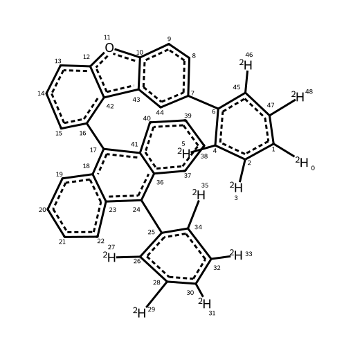 [2H]c1c([2H])c([2H])c(-c2ccc3oc4cccc(-c5c6ccccc6c(-c6c([2H])c([2H])c([2H])c([2H])c6[2H])c6ccccc56)c4c3c2)c([2H])c1[2H]